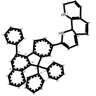 C1=CC2=C(NC1)C1NC(c3ccc4c(c3)C(c3ccccc3)(c3ccccc3)c3c-4c(-c4ccccc4)cc4ccccc34)=CC=C1C=C2